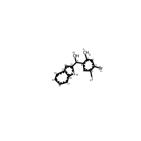 Cc1cc(Br)c(I)cc1C(O)c1cc2ccccc2s1